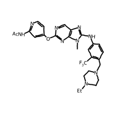 CCN1CCN(Cc2ccc(Nc3nc4cnc(Oc5ccnc(NC(C)=O)c5)nc4n3C)cc2C(F)(F)F)CC1